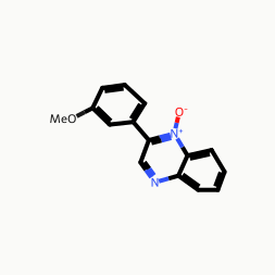 COc1cccc(-c2cnc3ccccc3[n+]2[O-])c1